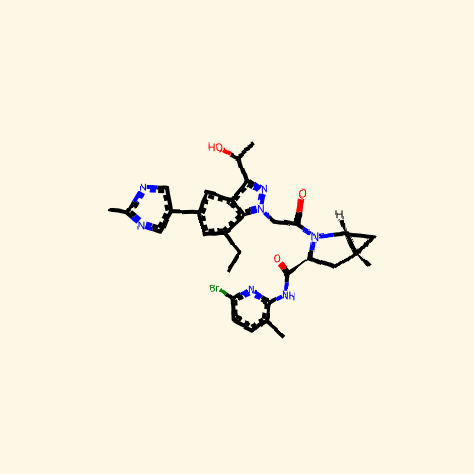 CCc1cc(-c2cnc(C)nc2)cc2c(C(C)O)nn(CC(=O)N3[C@H](C(=O)Nc4nc(Br)ccc4C)C[C@@]4(C)C[C@@H]34)c12